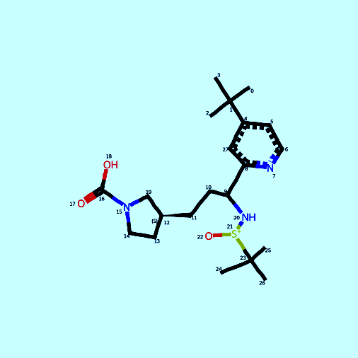 CC(C)(C)c1ccnc(C(CC[C@H]2CCN(C(=O)O)C2)N[S+]([O-])C(C)(C)C)c1